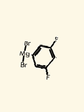 Fc1[c]c(F)ccc1.[Br][Mg][Br]